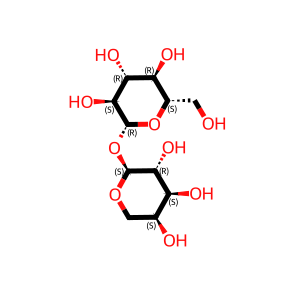 OC[C@@H]1O[C@H](O[C@@H]2OC[C@H](O)[C@H](O)[C@H]2O)[C@@H](O)[C@H](O)[C@H]1O